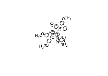 COc1ccc(C(OC[C@@H]2O[C@H](n3cnc4c(N)nc(I)nc43)[C@@H](OC(c3ccccc3)(c3ccc(OC)cc3)c3ccc(OC)cc3)[C@@H]2O)(c2ccccc2)c2ccc(OC)cc2)cc1